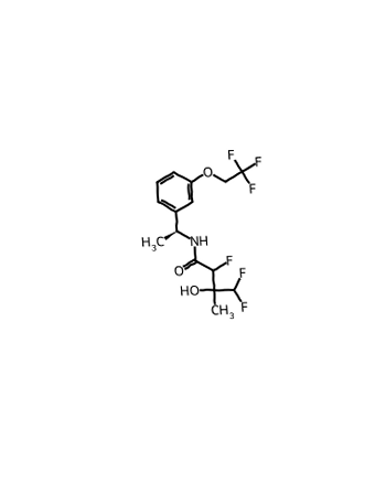 C[C@H](NC(=O)C(F)C(C)(O)C(F)F)c1cccc(OCC(F)(F)F)c1